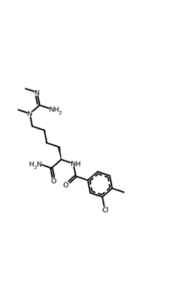 C/N=C(/N)N(C)CCCC[C@@H](NC(=O)c1ccc(C)c(Cl)c1)C(N)=O